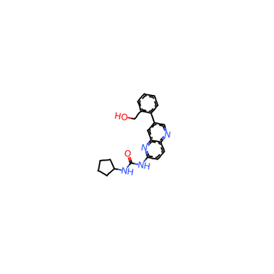 O=C(Nc1ccc2ncc(-c3ccccc3CO)cc2n1)NC1CCCC1